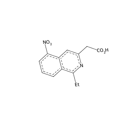 CCc1nc(CC(=O)O)cc2c([N+](=O)[O-])cccc12